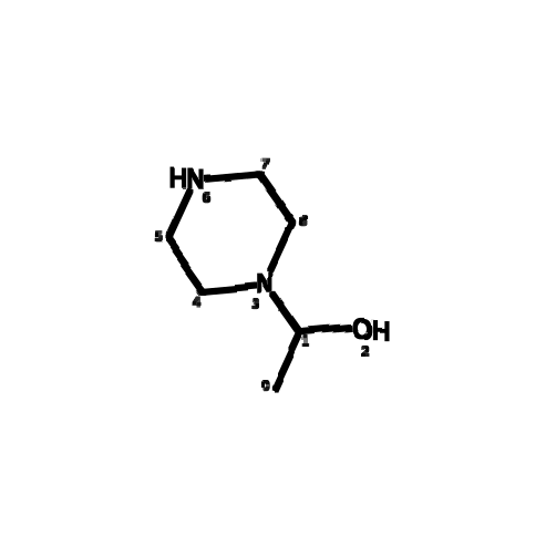 CC(O)N1CCNCC1